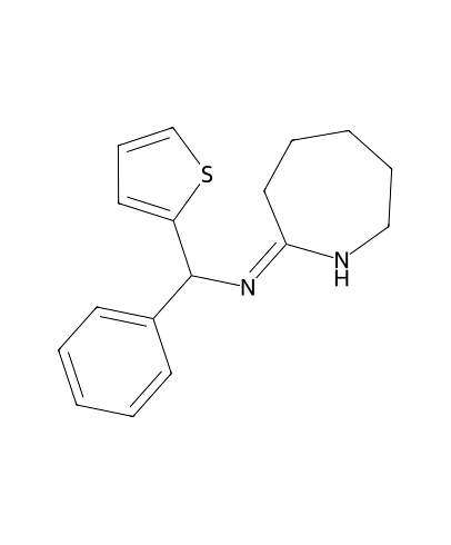 c1ccc(C(N=C2CCCCCN2)c2cccs2)cc1